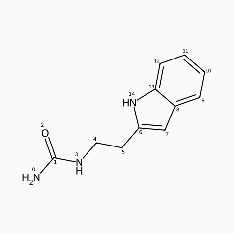 NC(=O)NCCc1cc2ccccc2[nH]1